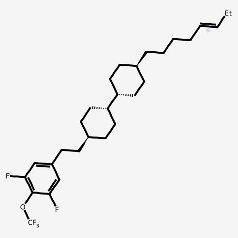 CC/C=C/CCCC[C@H]1CC[C@H]([C@H]2CC[C@H](CCc3cc(F)c(OC(F)(F)F)c(F)c3)CC2)CC1